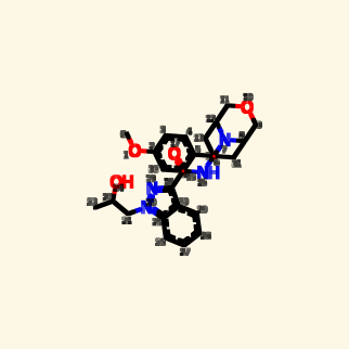 COc1ccc(CN2C3COCC2CC(NC(=O)c2nn(CC(C)O)c4ccccc24)C3)cc1